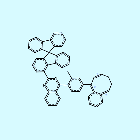 Cc1cc(C2=c3\cccc\c3=C\CC/C=C\2)ccc1-c1nc(-c2cccc3c2-c2ccccc2C32c3ccccc3-c3ccccc32)nc2ccccc12